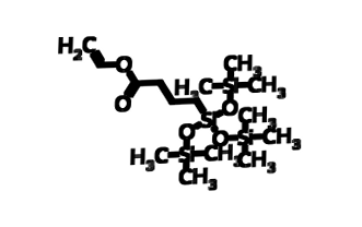 C=COC(=O)CCC[Si](O[Si](C)(C)C)(O[Si](C)(C)C)O[Si](C)(C)C